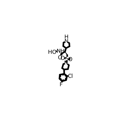 O=C(NO)[C@H](CS(=O)(=O)N1CCC(c2ccc(F)cc2Cl)CC1)C1CCNCC1